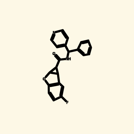 O=C(NC(c1ccccc1)c1ccncc1)C1C2Oc3ccc(F)cc3C21